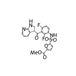 COC(=O)c1ccc(S(=O)(=O)Nc2ccc(F)c(C(=O)C3CNc4ncccc43)c2F)o1